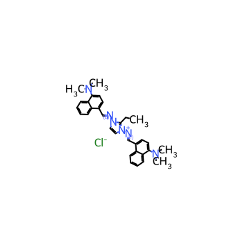 CCc1n(/N=C/c2ccc(N(C)C)c3ccccc23)cc[n+]1/N=C/c1ccc(N(C)C)c2ccccc12.[Cl-]